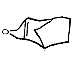 C1CC2C[C]1C1=C2O1